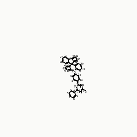 Cc1nc(-c2ccccc2)nc(-c2ccc(N3c4ccccc4C4(c5ccccc5-c5ccccc54)c4ccccc43)cc2)n1